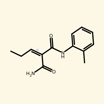 CC/C=C(\C(N)=O)C(=O)Nc1ccccc1C